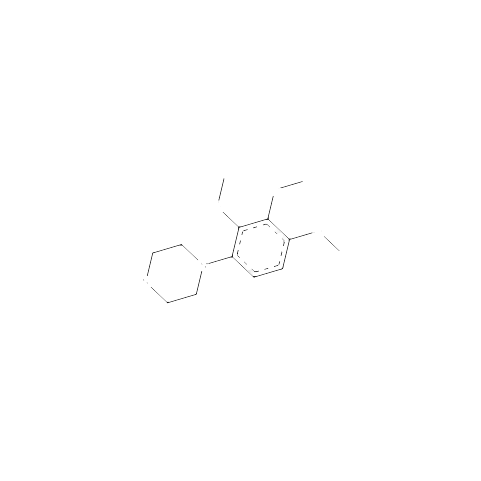 COc1ccc(N2CC[N]CC2)c(OC)c1OC